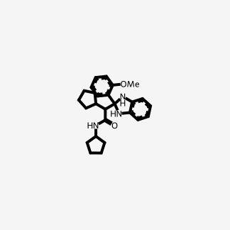 COc1ccccc1C1(C(C(=O)NC2CCCC2)C2CCCC2)Nc2ccccc2N1